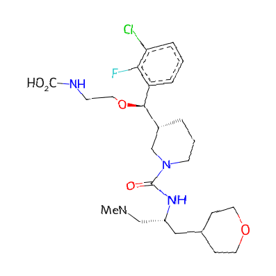 CNC[C@@H](CC1CCOCC1)NC(=O)N1CCC[C@@H]([C@@H](OCCNC(=O)O)c2cccc(Cl)c2F)C1